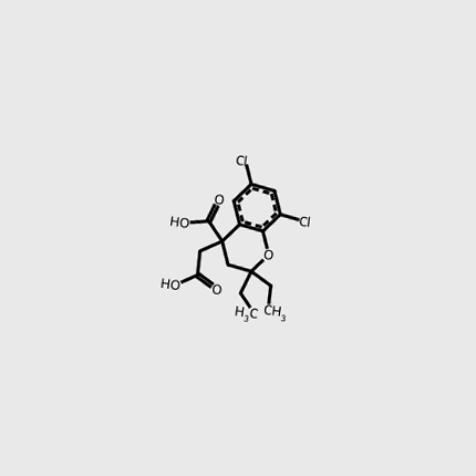 CCC1(CC)CC(CC(=O)O)(C(=O)O)c2cc(Cl)cc(Cl)c2O1